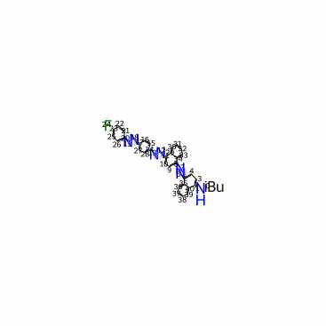 CCC(C)Nc1ccc(/N=N/c2ccc(/N=N/c3ccc(/N=N/c4ccc(F)cc4)cc3)c3ccccc23)c2ccccc12